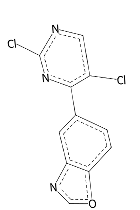 Clc1ncc(Cl)c(-c2ccc3ocnc3c2)n1